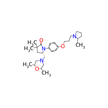 CC1CN(C[C@@H]2CC(C)(C)C(=O)N2c2ccc(OCCCN3CCCC3C)cc2)CC(C)O1